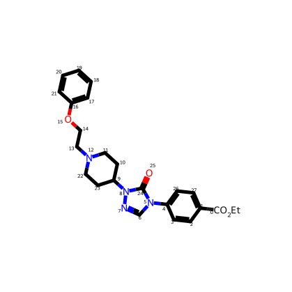 CCOC(=O)c1ccc(-n2cnn(C3CCN(CCOc4ccccc4)CC3)c2=O)cc1